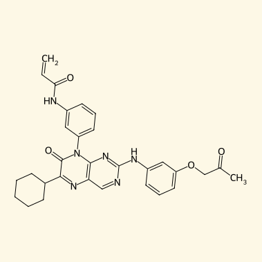 C=CC(=O)Nc1cccc(-n2c(=O)c(C3CCCCC3)nc3cnc(Nc4cccc(OCC(C)=O)c4)nc32)c1